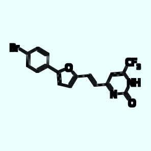 O=c1nc(C=Cc2ccc(-c3ccc(Br)cc3)o2)cc(C(F)(F)F)[nH]1